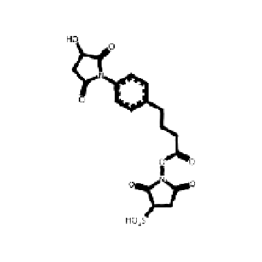 O=C(CCCc1ccc(N2C(=O)CC(O)C2=O)cc1)ON1C(=O)CC(S(=O)(=O)O)C1=O